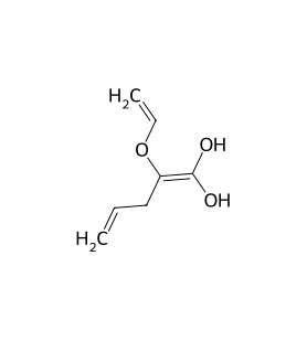 C=CCC(OC=C)=C(O)O